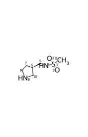 CS(=O)(=O)NC[C@@H]1CCNC1